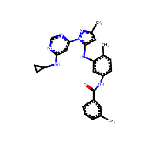 Cc1cc(Nc2cc(NC(=O)c3cccc(C(F)(F)F)c3)ccc2C)n(-c2cc(NC3CC3)ncn2)n1